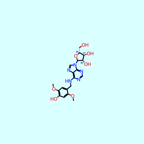 COc1cc(CNc2ncnc3c2ncn3C2O[C@H](CO)[C@@H](O)[C@H]2O)c(OC)cc1O